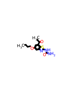 CCCCOc1cc(C(=O)CC)c2sc(NC(N)=O)nc2c1